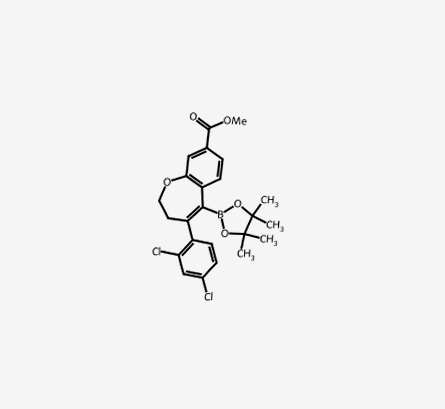 COC(=O)c1ccc2c(c1)OCCC(c1ccc(Cl)cc1Cl)=C2B1OC(C)(C)C(C)(C)O1